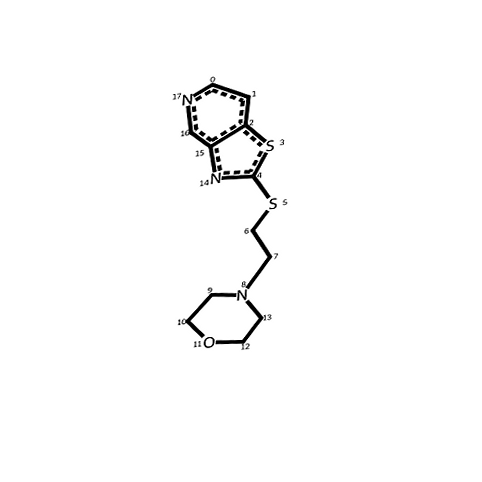 c1cc2sc(SCCN3CCOCC3)nc2cn1